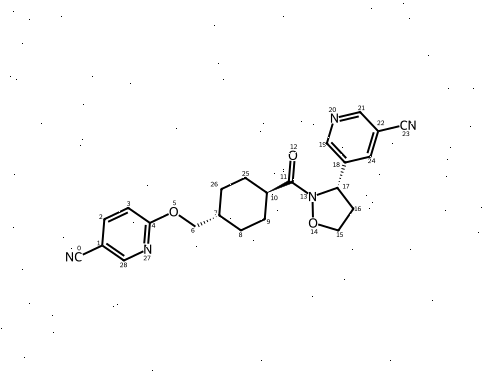 N#Cc1ccc(OC[C@H]2CC[C@H](C(=O)N3OCC[C@H]3c3cncc(C#N)c3)CC2)nc1